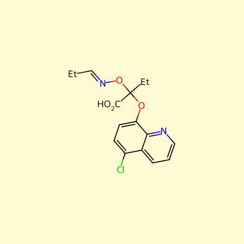 CCC=NOC(CC)(Oc1ccc(Cl)c2cccnc12)C(=O)O